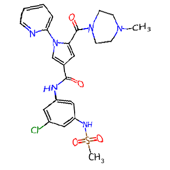 CN1CCN(C(=O)c2cc(C(=O)Nc3cc(Cl)cc(NS(C)(=O)=O)c3)cn2-c2ccccn2)CC1